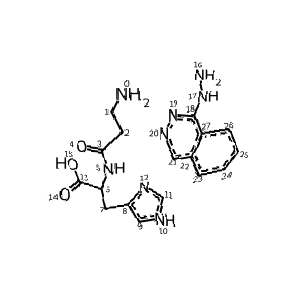 NCCC(=O)NC(Cc1c[nH]cn1)C(=O)O.NNc1nncc2ccccc12